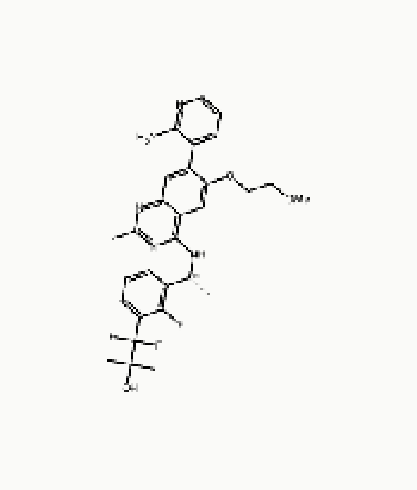 COCCOc1cc2c(N[C@H](C)c3cccc(C(F)(F)C(C)(C)O)c3F)nc(C)nc2cc1-c1cccnc1N